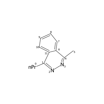 CCCc1nnc(C)c2ccccc12